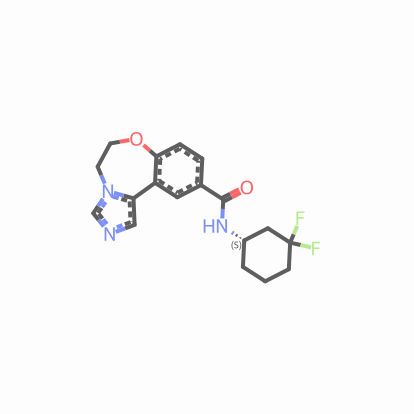 O=C(N[C@H]1CCCC(F)(F)C1)c1ccc2c(c1)-c1cncn1CCO2